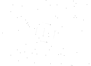 C1CSC2CCC(C1)CC2